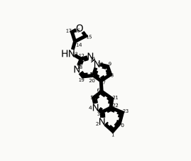 c1cnc2ncc(-c3ccn4nc(NC5COC5)ncc34)cc2c1